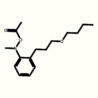 CCCCOCCCc1ccccc1N(C)OC(C)=O